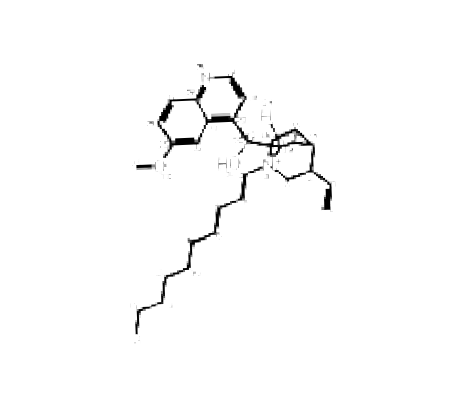 C=CC1C[N+]2(CCCCCCCCCC)CCC1C[C@H]2[C@@H](O)c1ccnc2ccc(OC)cc12